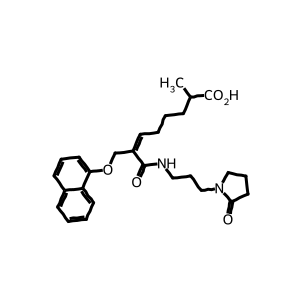 CC(CCCC=C(COc1cccc2ccccc12)C(=O)NCCCN1CCCC1=O)C(=O)O